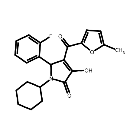 Cc1ccc(C(=O)C2=C(O)C(=O)N(C3CCCCC3)C2c2ccccc2F)o1